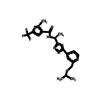 CC(C)OCc1cc(-c2noc([C@H](C)NC(=O)c3cc(C(F)(F)F)nn3C)n2)ccn1